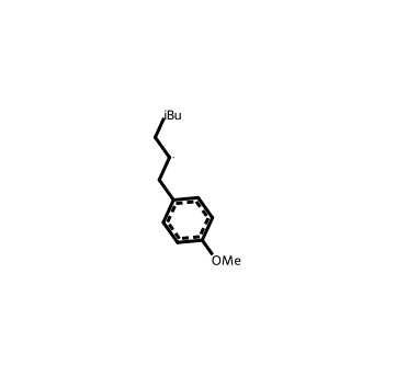 CCC(C)C[CH]Cc1ccc(OC)cc1